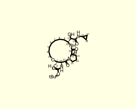 C[C@@H]1OCCCCCCC[C@@H](C(O)C(=O)NC2CC2)NC(=O)[C@@H]2CCCN2C(=O)[C@H]1NC(=O)OC(C)(C)C